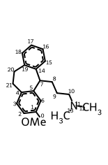 COc1ccc2c(c1)C(CCCN(C)C)c1ccccc1CC2